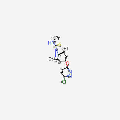 CCc1cc(Oc2ccc(Cl)nn2)cc(CC)c1NC(=S)NC(C)C